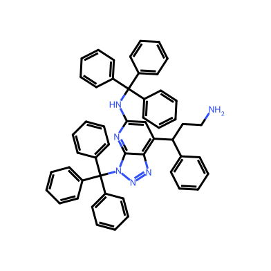 NCCC(c1ccccc1)c1cc(NC(c2ccccc2)(c2ccccc2)c2ccccc2)nc2c1nnn2C(c1ccccc1)(c1ccccc1)c1ccccc1